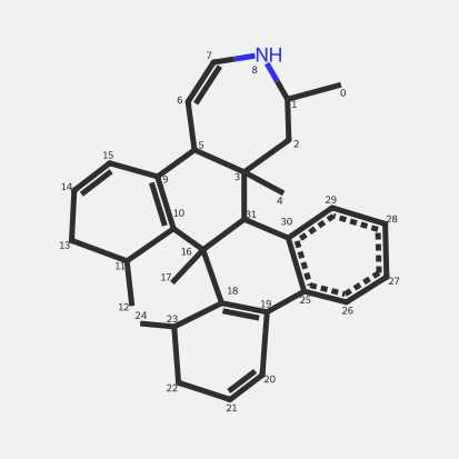 CC1CC2(C)C(C=CN1)C1=C(C(C)CC=C1)C1(C)C3=C(C=CCC3C)c3ccccc3C12